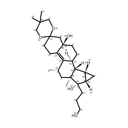 C[C@H]1C[C@@]2(C)[C@@H]([C@@H]3C[C@@H]3[C@@]2(O)CCCO)[C@@H]2CC[C@@]3(O)CC4(CCC3=C21)OCC(C)(C)CO4